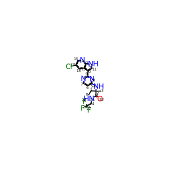 CC[C@](C)(Nc1ccnc(-c2c[nH]c3ncc(Cl)cc23)n1)C(=O)NCC(F)(F)F